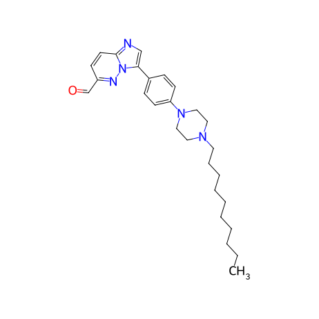 CCCCCCCCCCN1CCN(c2ccc(-c3cnc4ccc(C=O)nn34)cc2)CC1